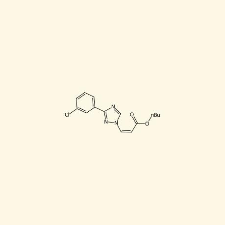 CCCCOC(=O)/C=C\n1cnc(-c2cccc(Cl)c2)n1